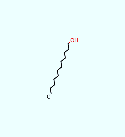 CCCCCCCCCCCCO.[C]